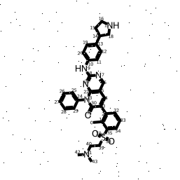 Cc1c(-c2cc3cnc(Nc4ccc(C5CCNC5)cc4)nc3n(-c3ccccc3)c2=O)cccc1S(=O)(=O)CCN(C)C